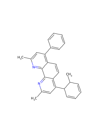 Cc1cc(-c2ccccc2)c2ccc3c(C4C=CC=CC4C)cc(C)nc3c2n1